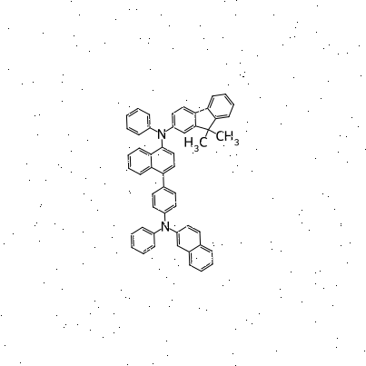 CC1(C)c2ccccc2-c2ccc(N(c3ccccc3)c3ccc(-c4ccc(N(c5ccccc5)c5ccc6ccccc6c5)cc4)c4ccccc34)cc21